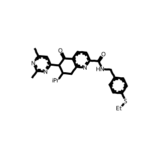 CCSc1ccc(CNC(=O)c2ccc3c(n2)CC(C(C)C)C(c2cc(C)nc(C)n2)C3=O)cc1